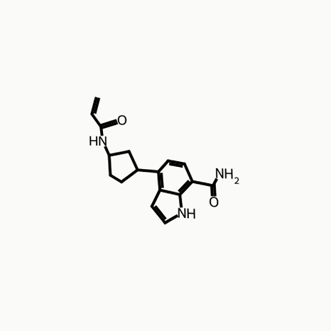 C=CC(=O)NC1CCC(c2ccc(C(N)=O)c3[nH]ccc23)C1